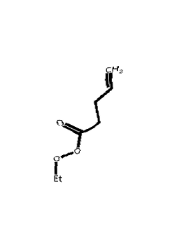 C=CCCC(=O)OOCC